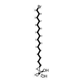 O=P(O)(O)OCCCCCCCCCCCCCCCCBr